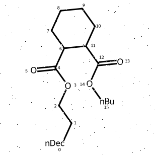 CCCCCCCCCCCCOC(=O)C1CCCCC1C(=O)OCCCC